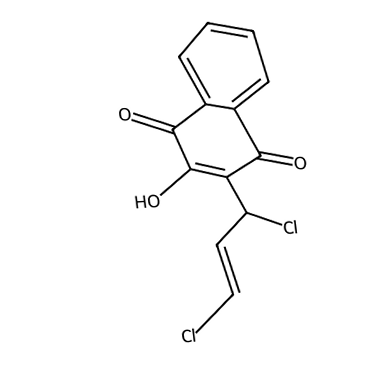 O=C1C(O)=C(C(Cl)C=CCl)C(=O)c2ccccc21